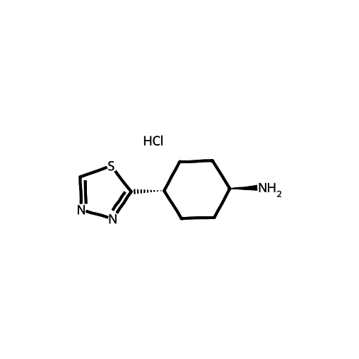 Cl.N[C@H]1CC[C@H](c2nncs2)CC1